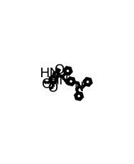 COc1cc2c(cc1OC)C(=C(Nc1ccc(CN(Cc3ccccc3)Cc3ccccc3)cc1)c1ccccc1)C(=O)N2